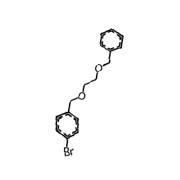 Brc1ccc(COCCOCc2ccccc2)cc1